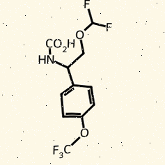 O=C(O)NC(COC(F)F)c1ccc(OC(F)(F)F)cc1